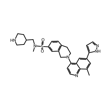 Cc1cc(-c2ccn[nH]2)cc2c(N3CCc4ccc(S(=O)(=O)N(C)CC5CCNCC5)cc4C3)ccnc12